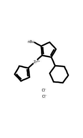 CCCCC1=[C]([Zr+2][C]2=CC=CC2)C(C2CCCCC2)=CC1.[Cl-].[Cl-]